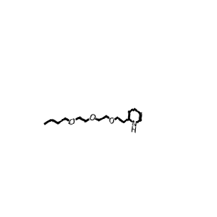 CCCCOCCOCCOCCC1CCCCN1